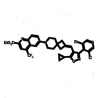 CCOC(=O)c1cc(C(F)(F)F)c2cc(N3CCC4(CC3)CC(=Cc3c(-c5c(Cl)cncc5CC)noc3C3CC3)C4)ccc2n1